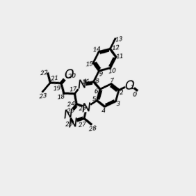 COc1ccc2c(c1)C(c1ccc(C)cc1)=NC(CC(=O)C(C)C)c1nnc(C)n1-2